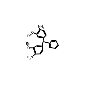 CCOc1cc(C(c2ccccc2)c2ccc(N)c(OCC)c2)ccc1N